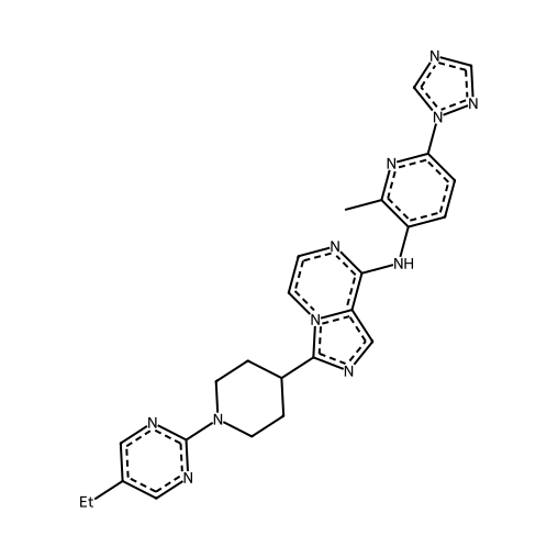 CCc1cnc(N2CCC(c3ncc4c(Nc5ccc(-n6cncn6)nc5C)nccn34)CC2)nc1